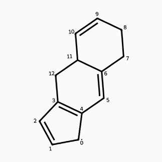 [CH]1C=CC2=C1C=C1CCC=CC1C2